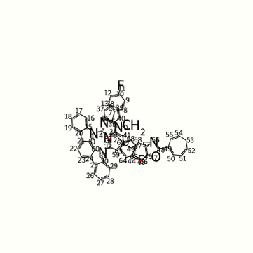 C=N/C(=N\C(=N/Cc1ccc(F)cc1)n1c2ccccc2c2ccc3c4ccccc4n(-c4cc(-c5ccccc5)cc(-c5ccc6oc(C7=CC=CCC=C7)nc6c5)c4)c3c21)c1ccc(F)cc1